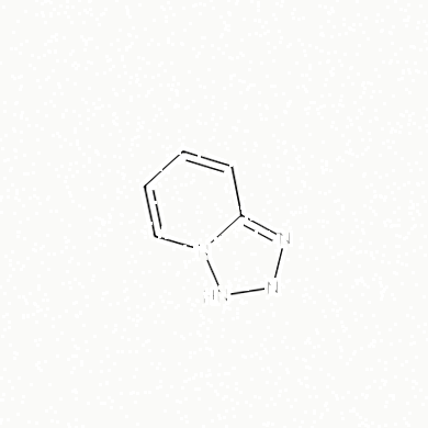 C1=CC2=N[N]NN2C=C1